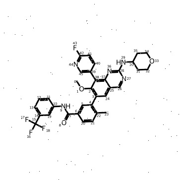 COc1c(-c2cc(C(=O)Nc3cccc(C(F)(F)F)c3)ccc2C)cc2cnc(NC3CCOCC3)nc2c1-c1ccc(F)nc1